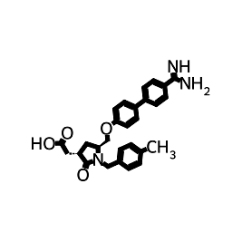 Cc1ccc(CN2C(=O)[C@H](CC(=O)O)C[C@H]2COc2ccc(-c3ccc(C(=N)N)cc3)cc2)cc1